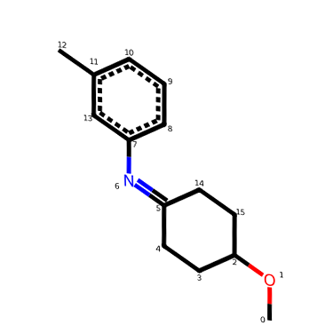 COC1CCC(=Nc2cccc(C)c2)CC1